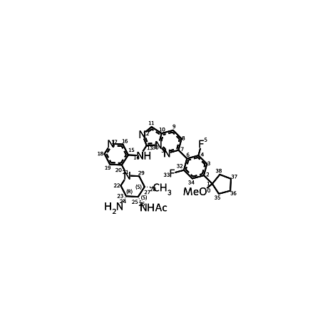 COC1(c2cc(F)c(-c3ccc4cnc(Nc5cnccc5N5C[C@@H](N)[C@@H](NC(C)=O)[C@@H](C)C5)n4n3)c(F)c2)CCCC1